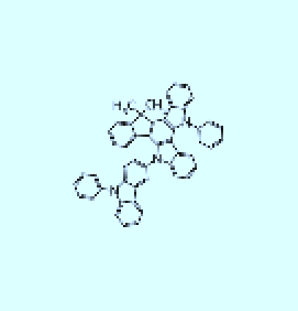 CC1(C)c2ccccc2-c2c1c1c3ccccc3n(-c3ccccc3)c1c1c3ccccc3n(-c3ccc4c(c3)c3ccccc3n4-c3ccccc3)c21